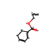 [CH2]CCCCCOC(=O)C1=CC=CCC1